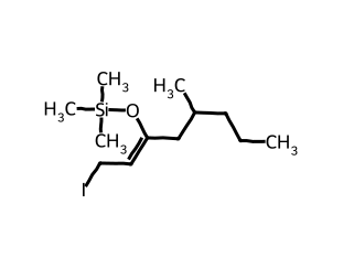 CCCC(C)CC(=CCI)O[Si](C)(C)C